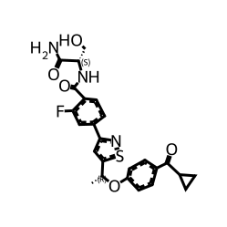 C[C@@H](Oc1ccc(C(=O)C2CC2)cc1)c1cc(-c2ccc(C(=O)N[C@@H](CO)C(N)=O)c(F)c2)ns1